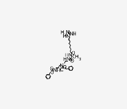 C[C@H](NC(=O)CCCCCCCCNC(=N)N)C(=O)NCCCCN(CCCNC(=O)OCc1ccccc1)C(=O)OCc1ccccc1